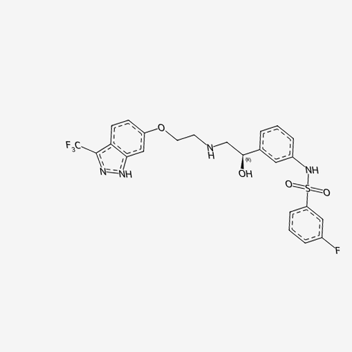 O=S(=O)(Nc1cccc([C@@H](O)CNCCOc2ccc3c(C(F)(F)F)n[nH]c3c2)c1)c1cccc(F)c1